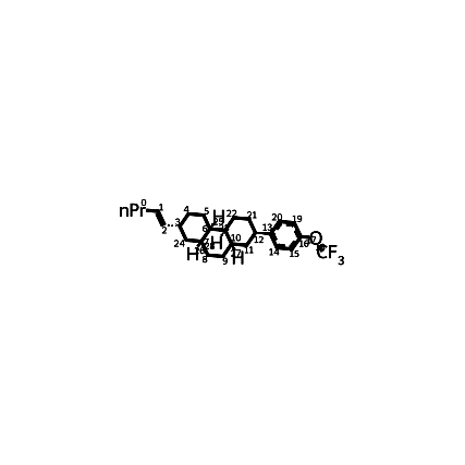 CCCC=C[C@@H]1CC[C@H]2[C@H](CC[C@H]3C[C@H](c4ccc(OC(F)(F)F)cc4)CC[C@@H]32)C1